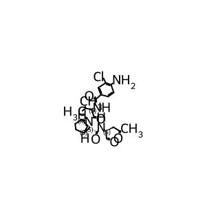 CC(=O)C[C@@H](C=O)NC(=O)[C@@H]1[C@H]2CC[C@H](C2)N1C(=O)[C@@H](NC(=O)c1ccc(N)c(Cl)c1)C(C)C